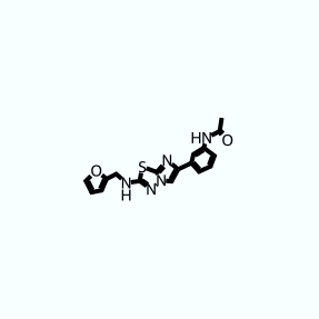 CC(=O)Nc1cccc(-c2cn3nc(NCc4ccco4)sc3n2)c1